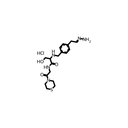 Cl.NN=CCc1ccc(CNC(CO)C(=O)NCC(=O)N2CCSCC2)cc1